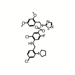 COc1ccc(CN(c2ncns2)S(=O)(=O)c2cc(Cl)c(NCc3ccc(Cl)cc3N3CCCC3)cc2F)c(OC)c1